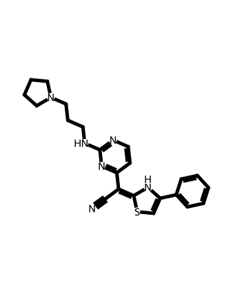 N#CC(=C1NC(c2ccccc2)=CS1)c1ccnc(NCCCN2CCCC2)n1